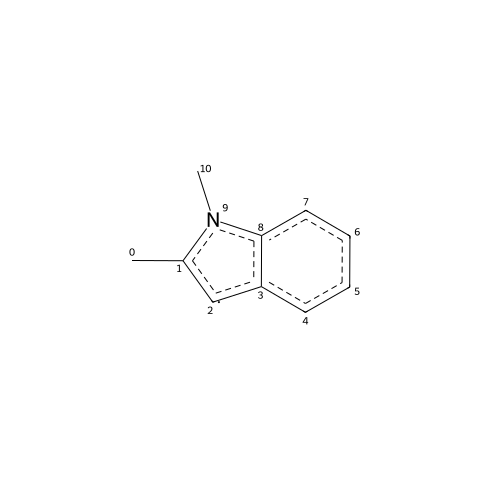 Cc1[c]c2ccccc2n1C